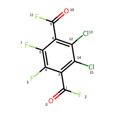 O=C(F)c1c(F)c(F)c(C(=O)F)c(Cl)c1Cl